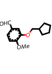 COc1ccc(C=O)cc1OCC1CCCC1